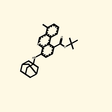 Cc1cccc2c1cnc1c(NC34CC5CC(CC(C5)C3)C4)ccc(C(=O)OC(C)(C)C)c12